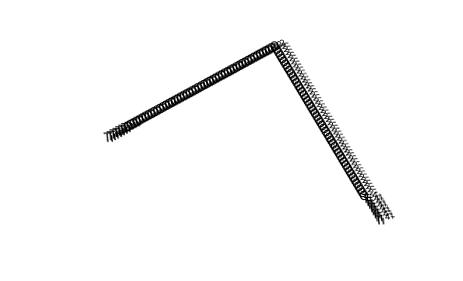 [O-2].[O-2].[O-2].[O-2].[O-2].[O-2].[O-2].[O-2].[O-2].[O-2].[O-2].[O-2].[O-2].[O-2].[O-2].[O-2].[O-2].[O-2].[O-2].[O-2].[O-2].[O-2].[O-2].[O-2].[O-2].[O-2].[O-2].[O-2].[O-2].[O-2].[O-2].[O-2].[O-2].[O-2].[O-2].[O-2].[O-2].[O-2].[O-2].[O-2].[O-2].[O-2].[O-2].[O-2].[O-2].[O-2].[O-2].[O-2].[O-2].[O-2].[O-2].[O-2].[O-2].[O-2].[O-2].[O-2].[O-2].[O-2].[O-2].[O-2].[O-2].[O-2].[O-2].[O-2].[O-2].[O-2].[O-2].[O-2].[O-2].[O-2].[O-2].[O-2].[O-2].[O-2].[O-2].[O-2].[O-2].[O-2].[O-2].[O-2].[O-2].[O-2].[O-2].[O-2].[O-2].[O-2].[O-2].[O-2].[O-2].[O-2].[O-2].[O-2].[O-2].[O-2].[O-2].[O-2].[O-2].[O-2].[O-2].[O-2].[Ti+4].[Ti+4].[Ti+4].[Ti+4].[Ti+4].[Ti+4].[Ti+4].[Ti+4].[Ti+4].[Ti+4].[Ti+4].[Ti+4].[Ti+4].[Ti+4].[Ti+4]